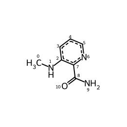 CNc1cccnc1C(N)=O